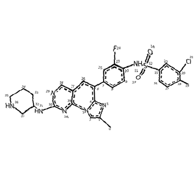 Cc1cn2c(n1)c(-c1ccc(NS(=O)(=O)c3ccc(C)c(Cl)c3)c(F)c1)cc1cnc(NC3CCCNC3)nc12